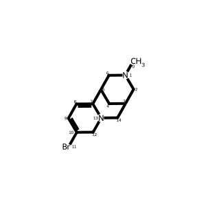 CN1CC2CC(C1)C1=CC=C(Br)CN1C2